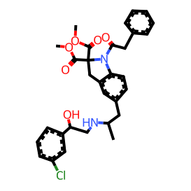 COC(=O)C1(C(=O)OC)Cc2cc(CC(C)NCC(O)c3cccc(Cl)c3)ccc2N1C(=O)Cc1ccccc1